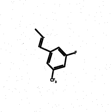 C[C]=Cc1cc(F)cc(C(F)(F)F)c1